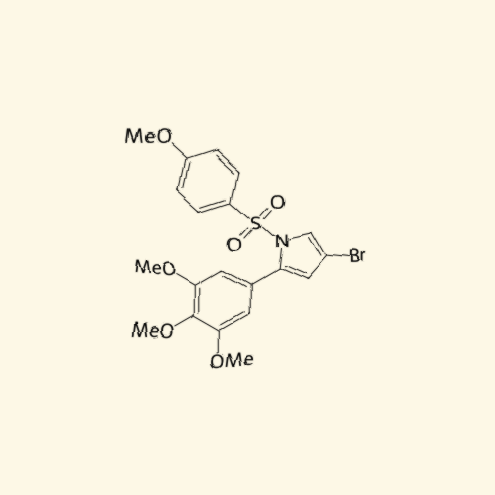 COc1ccc(S(=O)(=O)n2cc(Br)cc2-c2cc(OC)c(OC)c(OC)c2)cc1